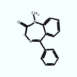 CN1C(=O)[C]N=C(c2ccccc2)c2ccccc21